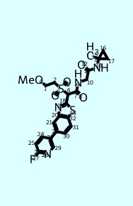 COCCS(=O)(=O)C(C(=O)NCC(=O)NC1(C)CC1)c1nc2cc(-c3ccc(F)nc3)ccc2s1